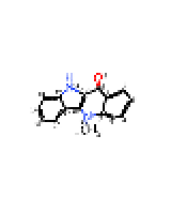 Cn1c2ccccc2c(=O)c2[nH]c3ccccc3c21